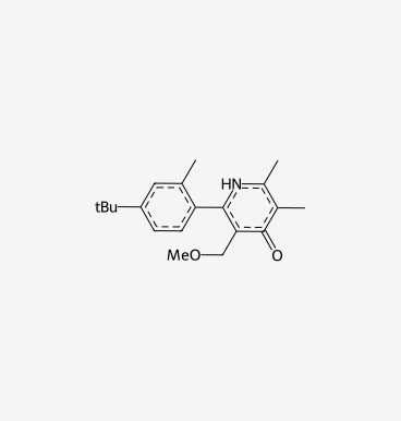 COCc1c(-c2ccc(C(C)(C)C)cc2C)[nH]c(C)c(C)c1=O